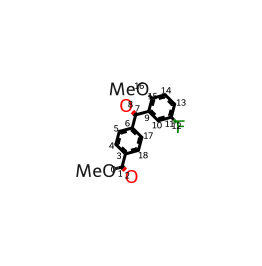 COC(=O)c1ccc(C(=O)c2cc(F)ccc2OC)cc1